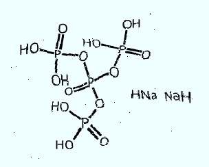 O=P(O)(O)OP(=O)(OP(=O)(O)O)OP(=O)(O)O.[NaH].[NaH]